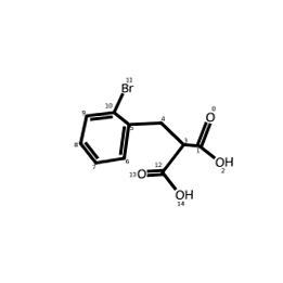 O=C(O)C(Cc1ccccc1Br)C(=O)O